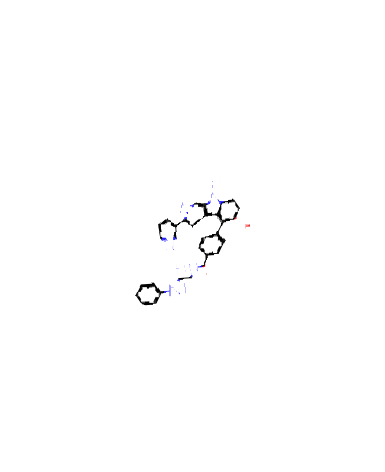 COc1ccc2[nH]c3cnc(-c4cccnc4)cc3c2c1-c1ccc(C(=O)NCCNc2ccccc2)cc1